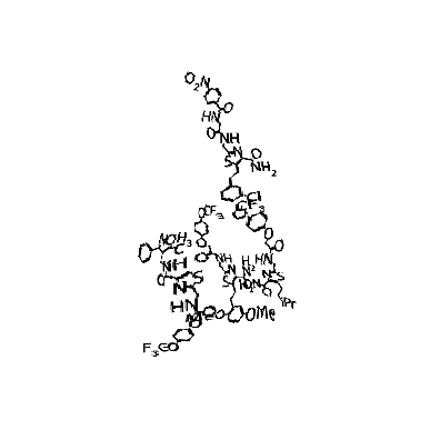 CC(C)CCc1sc(CNC(=O)COc2ccc(OC(F)(F)F)cc2)nc1C(N)=O.COc1ccc(OC)c(CCc2sc(CNC(=O)COc3ccc(OC(F)(F)F)cc3)nc2C(N)=O)c1.Cc1onc(-c2ccccc2)c1CNC(=O)c1csc(CNC(=O)COc2ccc(OC(F)(F)F)cc2)n1.NC(=O)c1nc(CNC(=O)CNC(=O)c2ccc([N+](=O)[O-])cc2)sc1CCc1cccc(Cl)c1